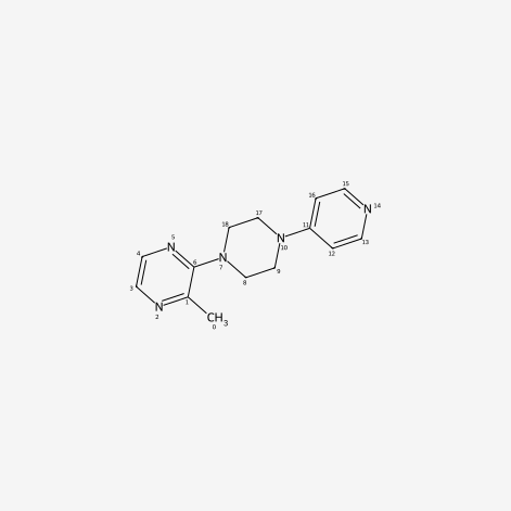 Cc1nccnc1N1CCN(c2ccncc2)CC1